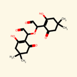 CC1(C)CC(=O)C(C(C=O)OC(C=O)C2=C(O)CC(C)(C)CC2=O)=C(O)C1